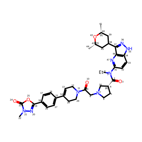 CCN(C(=O)[C@@H]1CCN(CC(=O)N2CC=C(c3ccc(-c4nn(C)c(=O)o4)cc3)CC2)C1)c1ccc2[nH]nc(C3C[C@@H](C)O[C@@H](C)C3)c2n1